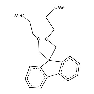 COCCOCC1(COCCOC)c2ccccc2-c2ccccc21